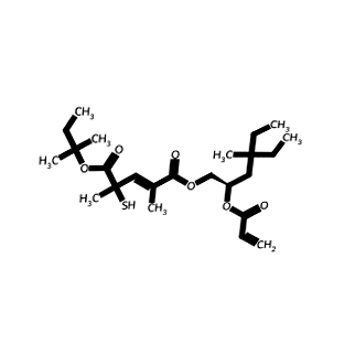 C=CC(=O)O[C@@H](COC(=O)/C(C)=C/C(C)(S)C(=O)OC(C)(C)CC)CC(C)(CC)CC